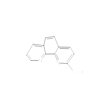 CCCCCCCCc1ccc2ccc3cccnc3c2n1